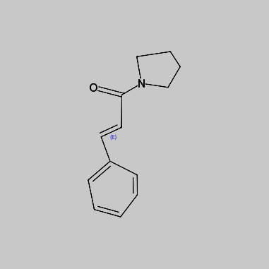 O=C(/C=C/c1ccccc1)N1CCCC1